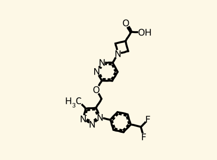 Cc1nnn(-c2ccc(C(F)F)cc2)c1COc1ccc(N2CC(C(=O)O)C2)nn1